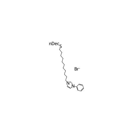 CCCCCCCCCCSCCCCCCCCCCC[n+]1ccn(-c2ccccc2)c1.[Br-]